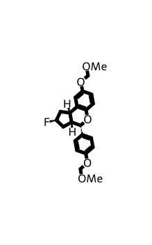 COCOc1ccc([C@H]2Oc3ccc(OCOC)cc3[C@H]3C[C@H](F)C[C@H]32)cc1